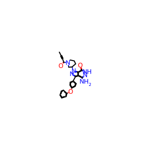 CC#CC(=O)N1CCCC(n2nc(-c3ccc(Oc4ccccc4)cc3)c3c(N)n[nH]c(=O)c32)C1